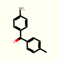 Cc1ccc(C(=O)c2ccc([N+](=O)[O-])cc2)cc1